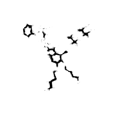 N#Cc1c(OCCCCN)c(OCCCCN)cc2sc(S(=O)(=O)NCP(=O)(O)Oc3ccccc3)c(F)c12.O=C(O)C(F)(F)F.O=C(O)C(F)(F)F